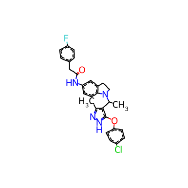 Cc1n[nH]c(Oc2ccc(Cl)cc2)c1C(C)N1CCc2cc(NC(=O)Cc3ccc(F)cc3)ccc21